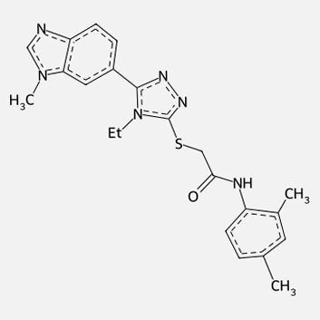 CCn1c(SCC(=O)Nc2ccc(C)cc2C)nnc1-c1ccc2ncn(C)c2c1